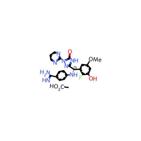 CC(=O)O.COc1cc(O)c(F)c([C@H](Nc2ccc(C(=N)N)cc2)c2nn(-c3ncccn3)c(=O)[nH]2)c1